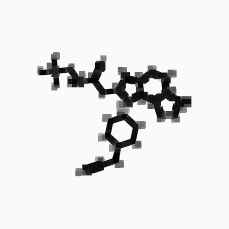 CS(C)(C)CNC(=O)Cc1nc2cnc3[nH]ccc3c2n1[C@H]1CC[C@H](CC#N)CC1